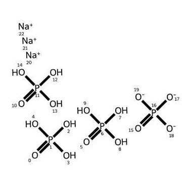 O=P(O)(O)O.O=P(O)(O)O.O=P(O)(O)O.O=P([O-])([O-])[O-].[Na+].[Na+].[Na+]